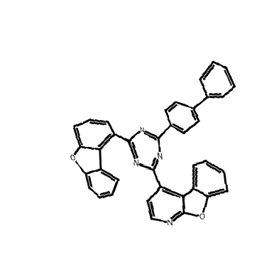 c1ccc(-c2ccc(-c3nc(-c4cccc5oc6ccccc6c45)nc(-c4ccnc5oc6ccccc6c45)n3)cc2)cc1